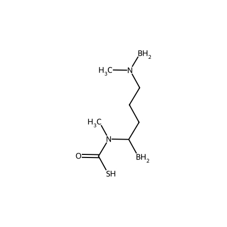 BC(CCCN(B)C)N(C)C(=O)S